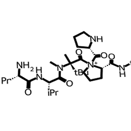 CC(C)[C@H](N)C(=O)N[C@H](C(=O)N(C)[C@](C)(C(=O)[N+]1(C(=O)[C@@H]2CCCN2)CCC[C@H]1C(=O)NC(C)(C)C)C(C)(C)C)C(C)C